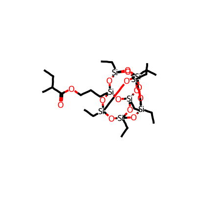 CCC(C)C(=O)OCCC[Si]12O[Si]3(CC)O[Si]4(CC)O[Si]5(CC)O[Si](CC)(O3)O[Si](CC)(O[Si](CC)(O5)O[Si](CC)(O4)O1)O2